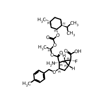 Cc1ccc(CO[C@@H]2C[C@@H]3[C@H]([C@]2(N)C(=O)O[C@@H](C)OC(=O)O[C@@H]2C[C@H](C)CC[C@H]2C(C)C)[C@@]3(F)C(=O)O)cc1